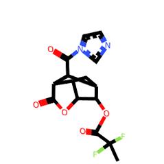 CC(F)(F)C(=O)OC1C2CC3C1OC(=O)C3C2C(=O)n1ccnc1